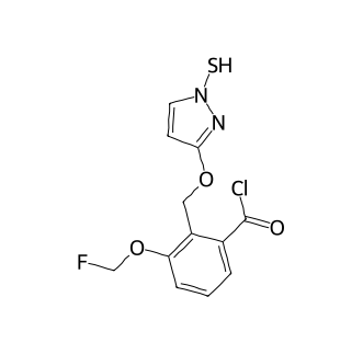 O=C(Cl)c1cccc(OCF)c1COc1ccn(S)n1